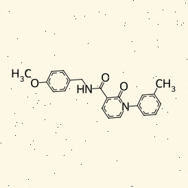 COc1ccc(CNC(=O)c2cccn(-c3cccc(C)c3)c2=O)cc1